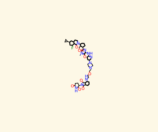 Cn1cc(-c2cccc(-n3ccc4cc(C5CC5)cc(F)c4c3=O)c2CO)nc(Nc2ccc(N3CCN(CCOCCNc4cccc5c4C(=O)N(C4CCC(=O)NC4=O)C5=O)CC3)cn2)c1=O